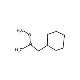 CON(C)CC1CCCCC1